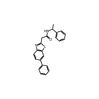 CC(NC(=O)Cc1nc2ccc(-c3ccccc3)cc2s1)c1ccccc1